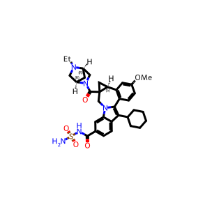 CCN1C[C@H]2C[C@@H]1CN2C(=O)C12C[C@H]1c1cc(OC)ccc1-c1c(C3CCCCC3)c3ccc(C(=O)NS(N)(=O)=O)cc3n1C2